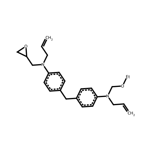 C=CCN(COCC)c1ccc(Cc2ccc(N(CC=C)CC3CO3)cc2)cc1